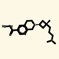 CN(C)CCC[C@]1(C)C[C@H](N2CCc3cc(C(=O)NO)cnc3C2)C1